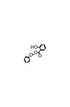 O=C(OCOc1ccccc1)c1ccccc1O